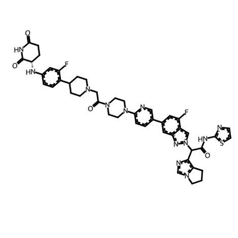 O=C1CC[C@H](Nc2ccc(C3CCN(CC(=O)N4CCN(c5ccc(-c6cc(F)c7cn(C(C(=O)Nc8nccs8)c8ncn9c8CCC9)nc7c6)cn5)CC4)CC3)c(F)c2)C(=O)N1